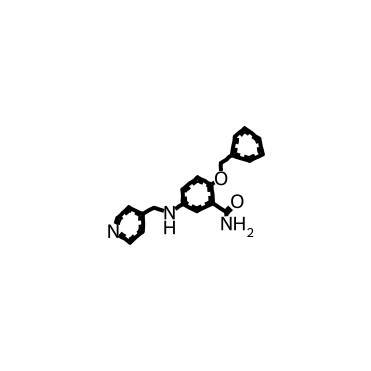 NC(=O)c1cc(NCc2ccncc2)ccc1OCc1ccccc1